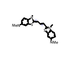 CNc1ccc2c(c1)S/C(=C\C=C\c1sc3cc(NC)ccc3[n+]1C)N2C